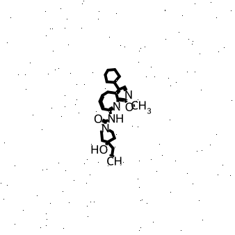 C#CCC1(O)CCN(C(=O)N/C2=N/c3c(OC)ncc(C4CCCCC4)c3CC=C=C2)CC1